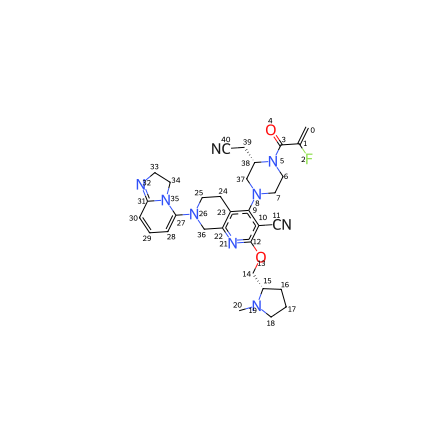 C=C(F)C(=O)N1CCN(c2c(C#N)c(OC[C@@H]3CCCN3C)nc3c2CCN(C2=CC=CC4=NCCN24)C3)C[C@@H]1CC#N